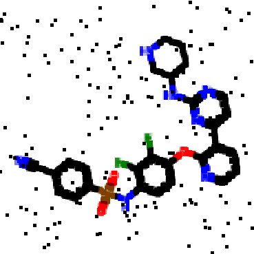 N#Cc1ccc(S(=O)(=O)Nc2ccc(Oc3ncccc3-c3ccnc(NC4CCCNC4)n3)c(F)c2F)cc1